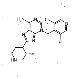 C[C@H]1CNCCC1c1nc2c(N)ncn(Cc3c(Cl)cncc3Cl)c-2n1